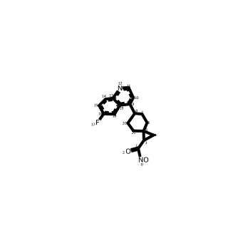 O=NC(=O)C1CC12CCC(c1ccnc3ccc(F)cc13)CC2